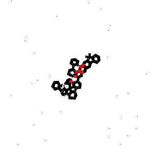 CC1(C)c2ccccc2-c2ccc(N(c3ccc(-c4ccc5c(c4)C4(c6ccccc6-5)c5ccccc5-n5c6ccccc6c6cccc4c65)cc3)c3ccccc3-c3ccccc3-c3ccccc3)cc21